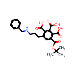 CC(C)(C)OC(=O)c1cc(CCCNCc2ccccc2)c(C(=O)O)c(C(=O)O)c1C(=O)O